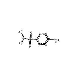 CCN(C(C)=O)S(=O)(=O)c1ccc(C)cc1